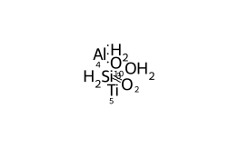 O.O.O=[SiH2].[Al].[Ti]